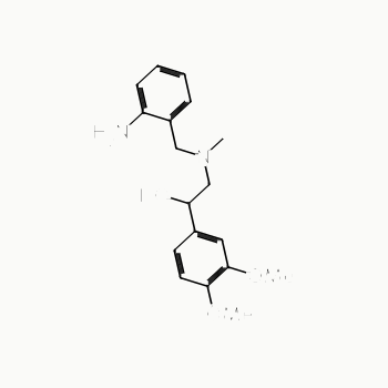 COc1ccc(C(O)CN(C)Cc2ccccc2N)cc1OC